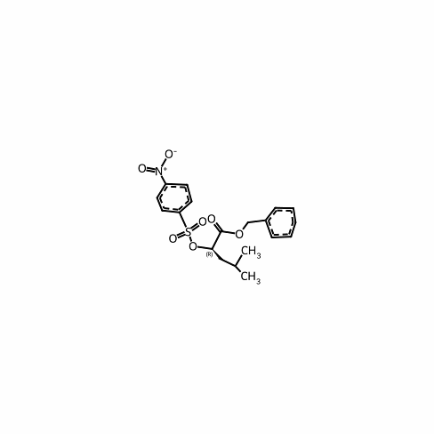 CC(C)C[C@@H](OS(=O)(=O)c1ccc([N+](=O)[O-])cc1)C(=O)OCc1ccccc1